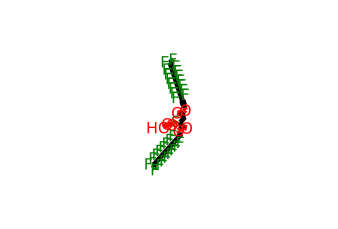 O=C(CC(SOOO)C(=O)OCC(F)(F)C(F)(F)C(F)(F)C(F)(F)C(F)(F)C(F)(F)C(F)(F)C(F)F)OC#CC(F)(F)C(F)(F)C(F)(F)C(F)(F)C(F)(F)C(F)(F)C(F)(F)C(F)F